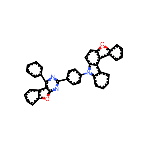 c1ccc(-c2nc(-c3ccc(-n4c5ccccc5c5c6c(ccc54)oc4ccccc46)cc3)nc3oc4ccccc4c23)cc1